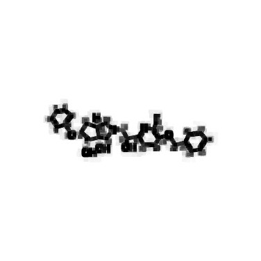 O[C@@H]1[C@H](Oc2ccccc2)C[C@H]2CN(C[C@H](O)c3ccc(OCc4ccccc4)c(F)n3)C[C@]21O